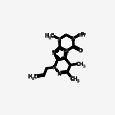 C=CCN1N=C(C)C(C)c2c1nc1n2C(=O)N(CCC)CN1C